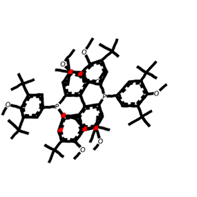 COc1cc(OC)c(-c2c(OC)cc(OC)cc2P(c2cc(C(C)(C)C)c(OC)c(C(C)(C)C)c2)c2cc(C(C)(C)C)c(OC)c(C(C)(C)C)c2)c(P(c2cc(C(C)(C)C)c(OC)c(C(C)(C)C)c2)c2cc(C(C)(C)C)c(OC)c(C(C)(C)C)c2)c1